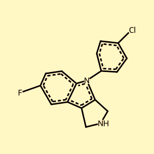 Fc1ccc2c(c1)c1c(n2-c2ccc(Cl)cc2)CNC1